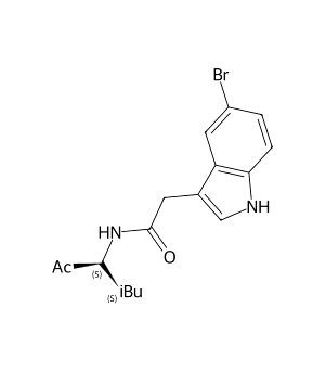 CC[C@H](C)[C@H](NC(=O)Cc1c[nH]c2ccc(Br)cc12)C(C)=O